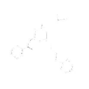 O=C(O)O.O=C(O[C@@H]1C[C@@H](OCCCc2ccc(Cl)cc2)C[C@H](O)[C@H]1O)c1ccccn1